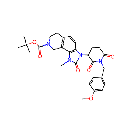 COc1ccc(CN2C(=O)CCC(n3c(=O)n(C)c4c5c(ccc43)CCN(C(=O)OC(C)(C)C)C5)C2=O)cc1